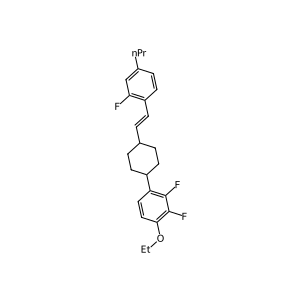 CCCc1ccc(/C=C/C2CCC(c3ccc(OCC)c(F)c3F)CC2)c(F)c1